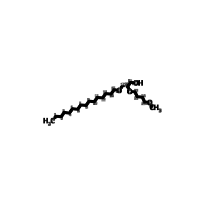 CCCCCCCCCCCCCCCCOC[C@H](CO)OCCCCOC